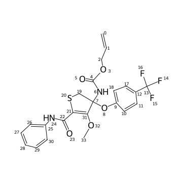 C=CCOC(=O)NC1(Oc2ccc(C(F)(F)F)cc2)CSC(C(=O)Nc2ccccc2)=C1OC